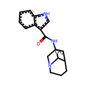 CC1C2CCCN1CC(NC(=O)c1c[nH]c3ccccc13)C2